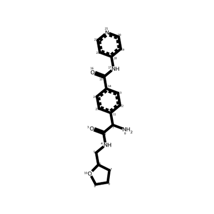 NC(C(=O)NCC1CCCO1)c1ccc(C(=O)Nc2ccncc2)cc1